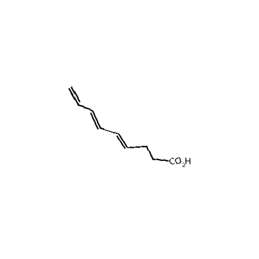 C=CC=CC=CCCC(=O)O